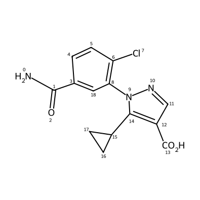 NC(=O)c1ccc(Cl)c(-n2ncc(C(=O)O)c2C2CC2)c1